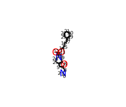 CN(C)Cc1cc2c(o1)CN(C(=O)OCCCCc1ccccc1)CC2